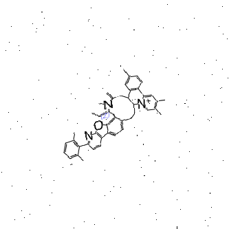 C=C1CC2c3cc(C)ccc3-c3cc(C)c(C)c[n+]3C2CCc2ccc3c(oc4nc(-c5c(C)cccc5C)ccc43)c2/C(=C/C)N1C